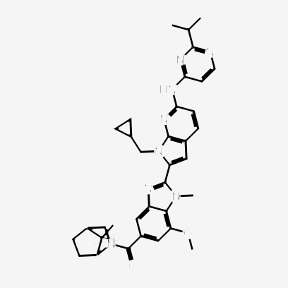 COc1cc(C(=O)N2CC3CCC2[C@@H]3C)cc2nc(-c3cc4ccc(Nc5ccnc(C(C)C)n5)nc4n3CC3CC3)n(C)c12